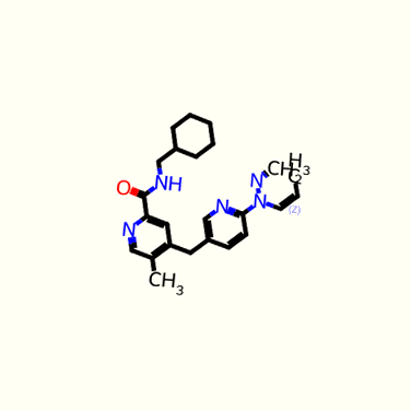 C=NN(/C=C\C)c1ccc(Cc2cc(C(=O)NCC3CCCCC3)ncc2C)cn1